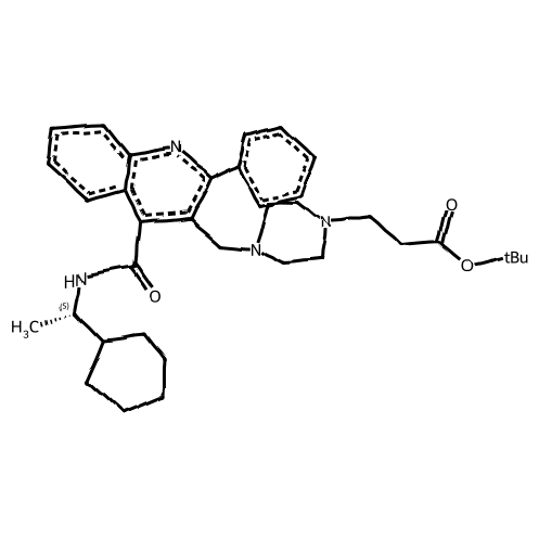 C[C@H](NC(=O)c1c(CN2CCN(CCC(=O)OC(C)(C)C)CC2)c(-c2ccccc2)nc2ccccc12)C1CCCCC1